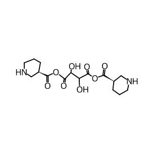 O=C(OC(=O)[C@@H]1CCCNC1)C(O)C(O)C(=O)OC(=O)[C@@H]1CCCNC1